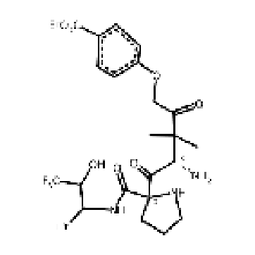 CCOC(=O)c1ccc(OCC(=O)C(C)(C)[C@H](N)C(=O)[C@]2(C(=O)NC(C(C)C)C(O)C(F)(F)F)CCCN2)cc1